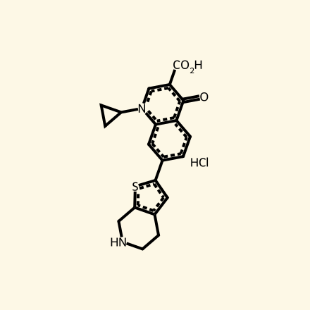 Cl.O=C(O)c1cn(C2CC2)c2cc(-c3cc4c(s3)CNCC4)ccc2c1=O